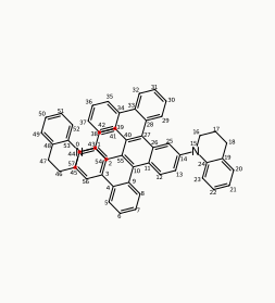 c1ccc(-c2ccccc2-c2c3ccc(N4CCCc5ccccc54)cc3c(-c3ccccc3-c3ccccc3)c3ccc(N4CCCc5ccccc54)cc23)cc1